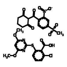 COc1cc(OC)nc(Sc2cccc(Cl)c2C(=O)O)n1.CS(=O)(=O)c1ccc(C(=O)C2C(=O)CCCC2=O)c([N+](=O)[O-])c1